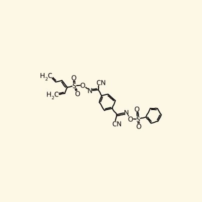 C=C/C=C(\C=C)S(=O)(=O)ON=C(C#N)c1ccc(C(C#N)=NOS(=O)(=O)c2ccccc2)cc1